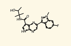 CC(O)C(C)(C)NC(=O)c1c[nH]c2ncc(-c3nn(C)c4cc(F)ccc34)nc12